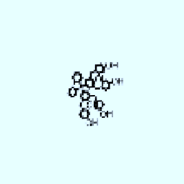 Oc1ccc(Cc2cc(C3(c4cc(Cc5ccc(O)cc5)c(O)c(Cc5ccc(O)cc5)c4)c4ccccc4-c4ccccc43)cc(Cc3ccc(O)cc3)c2O)cc1